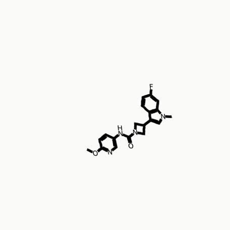 COc1ccc(NC(=O)N2CC(c3cn(C)c4cc(F)ccc34)C2)cn1